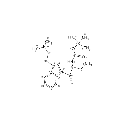 CCC(NC(=O)OC(C)(C)C)C(=O)n1cc(CCN(C)C)c2ccccc21